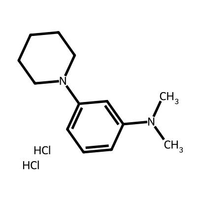 CN(C)c1cccc(N2CCCCC2)c1.Cl.Cl